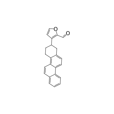 O=Cc1occc1C1CCc2c(ccc3c2ccc2ccccc23)C1